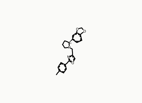 Cc1ccc(-c2nc(CN3CCC[C@H]3c3ccc4c(c3)OCO4)co2)cc1